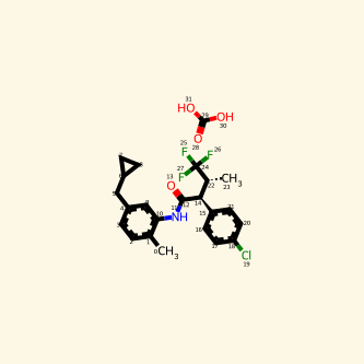 Cc1ccc(CC2CC2)cc1NC(=O)[C@H](c1ccc(Cl)cc1)[C@@H](C)C(F)(F)F.O=C(O)O